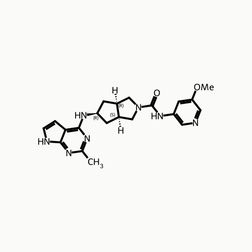 COc1cncc(NC(=O)N2C[C@H]3C[C@@H](Nc4nc(C)nc5[nH]ccc45)C[C@H]3C2)c1